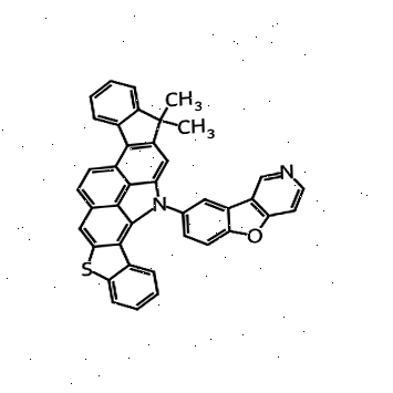 CC1(C)c2ccccc2-c2c1cc1c3c2ccc2cc4sc5ccccc5c4c(c23)n1-c1ccc2oc3ccncc3c2c1